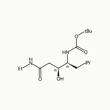 CCNC(=O)C[C@H](O)[C@H](CC(C)C)NC(=O)OC(C)(C)C